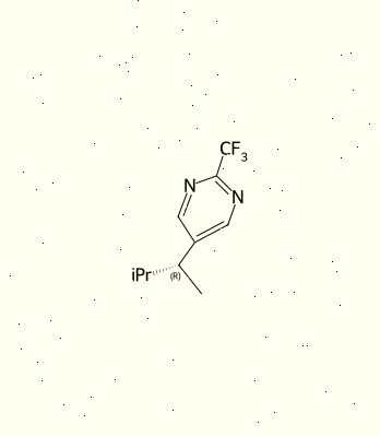 CC(C)[C@@H](C)c1cnc(C(F)(F)F)nc1